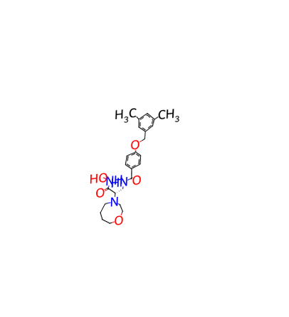 Cc1cc(C)cc(COc2ccc(C(=O)NC[C@@H](C(=O)NO)N3CCCCOCC3)cc2)c1